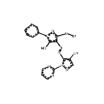 CCOc1nn(-c2ccccc2)c(O)c1N=Nc1c(C#N)cnn1-c1ncccn1